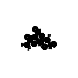 Fc1cc(F)cc(-n2c(-c3cccc(-c4nc(-c5cccc(-c6nc7ccccc7n6-c6cc(F)cc(F)c6)c5)nc(-c5cccc(-c6nc7ccccc7n6-c6cc(F)cc(F)c6)c5)n4)c3)nc3ccccc32)c1